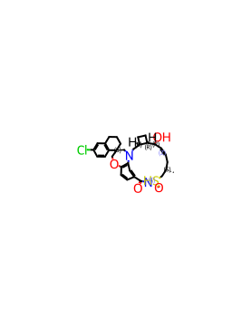 C[C@H]1C/C=C\[C@H](O)[C@@H]2CC[C@H]2CN2C[C@@]3(CCCc4cc(Cl)ccc43)COc3ccc(cc32)C(=O)/N=[SH](=O)\C1